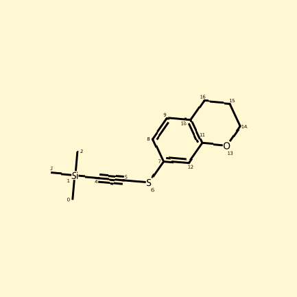 C[Si](C)(C)C#CSc1ccc2c(c1)OCCC2